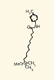 CO[Si](C)(C)CCCCCCCCCCC(=O)Nc1ccc(C)cc1